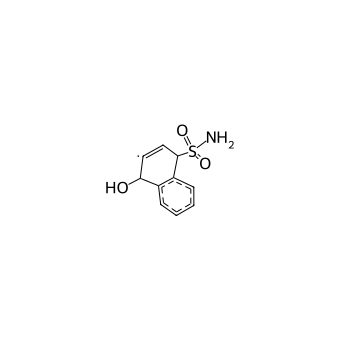 NS(=O)(=O)C1C=[C]C(O)c2ccccc21